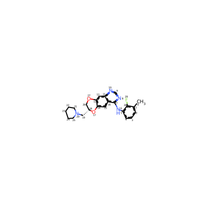 Cc1cccc(Nc2ncnc3cc4c(cc23)O[C@H](CN2CCCCC2)CO4)c1F